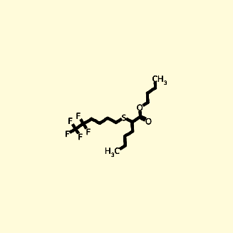 CCCCOC(=O)C(CCCC)SCCCCC(F)(F)C(F)(F)F